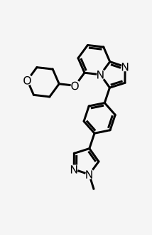 Cn1cc(-c2ccc(-c3cnc4cccc(OC5CCOCC5)n34)cc2)cn1